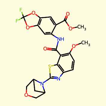 COC(=O)c1cc2c(cc1NC(=O)c1c(OC)ccc3nc(N4C5COCC4C5)sc13)OC(F)(F)O2